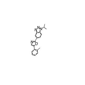 Cc1ccccc1-c1cnc(-c2ccc3c(c2)nnn3C(C)C)o1